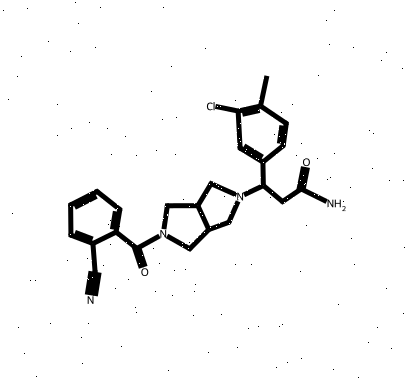 Cc1ccc(C(CC(N)=O)N2CC3CN(C(=O)c4ccccc4C#N)CC3C2)cc1Cl